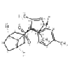 Cc1ccc(O[C@H]2C[C@H]3CC[C@@H](C2)N3S(=O)(=O)c2c(C)n[nH]c2C)c(F)c1